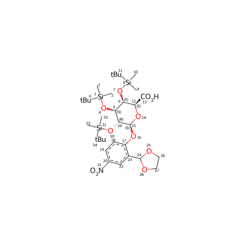 CC(C)(C)[Si](C)(C)O[C@H]1[C@@H](O[Si](C)(C)C(C)(C)C)[C@@H](C(=O)O)O[C@@H](Oc2ccc([N+](=O)[O-])cc2C2OCCO2)[C@@H]1O[Si](C)(C)C(C)(C)C